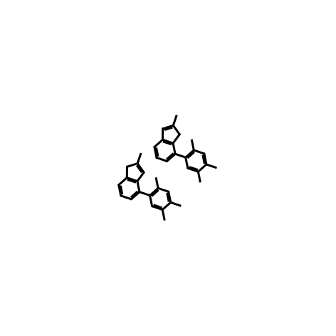 CC1=Cc2c(cccc2-c2cc(C)c(C)cc2C)C1.CC1=Cc2cccc(-c3cc(C)c(C)cc3C)c2C1